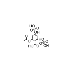 CC(=O)Oc1ccccc1C(=O)O.O=S(=O)(O)O.O=S(=O)(O)O